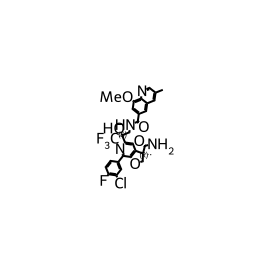 COc1cc(C(=O)NC[C@](O)(c2cc3c(c(-c4ccc(F)c(Cl)c4)n2)OC[C@]3(C)C(N)=O)C(F)(F)F)cc2cc(C)cnc12